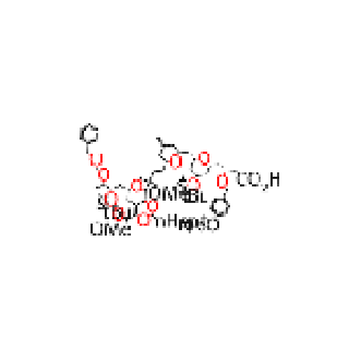 C=C1C[C@@H](C[C@H]2C[C@@H](O[Si](C)(C)C(C)(C)C)C[C@@H](C[C@H](CC(=O)O)OCc3ccc(OC)cc3)O2)O[C@@H](C=CC(C)(C)[C@]2(OC)O[C@H](C[C@@H](O[Si](C)(C)C(C)(C)C)[C@@H](C)OCOCc3ccccc3)CC(=CC(=O)OC)[C@@H]2OC(=O)CCCCCCC)C1